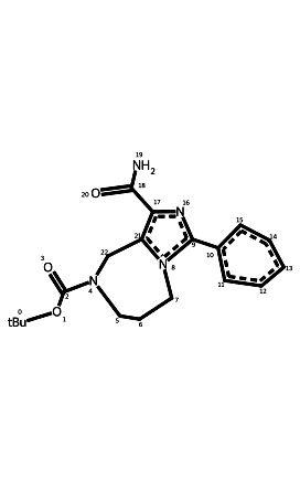 CC(C)(C)OC(=O)N1CCCn2c(-c3ccccc3)nc(C(N)=O)c2C1